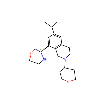 CC(C)c1cc2c(c([C@@H]3COCCN3)c1)CN(C1CCOCC1)CC2